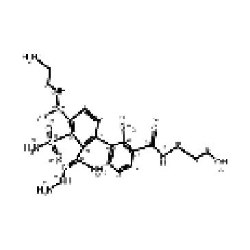 NCCN[S+]([O-])c1ccc(-c2cccc(C(=O)NCCCO)c2N)c(/C(N)=N/NN)c1S(N)(=O)=O